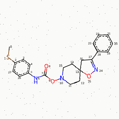 CSc1ccc(NC(=O)ON2CCC3(CC2)CC(c2ccccc2)=NO3)cc1